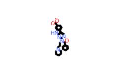 COC(=O)c1ccc2c(c1)[nH]c1nc(N(CCCN3CCCCC3)C(=O)c3ccccc3)ncc12